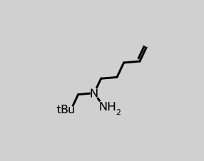 C=CCCCN(N)CC(C)(C)C